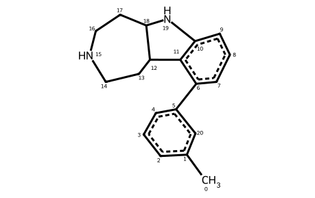 Cc1cccc(-c2cccc3c2C2CCNCCC2N3)c1